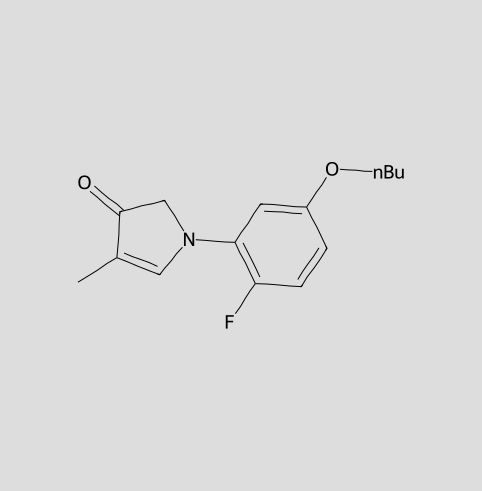 CCCCOc1ccc(F)c(N2C=C(C)C(=O)C2)c1